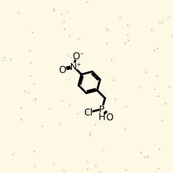 O=[N+]([O-])c1ccc(C[PH](=O)Cl)cc1